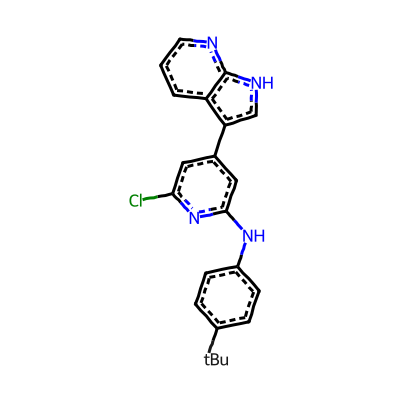 CC(C)(C)c1ccc(Nc2cc(-c3c[nH]c4ncccc34)cc(Cl)n2)cc1